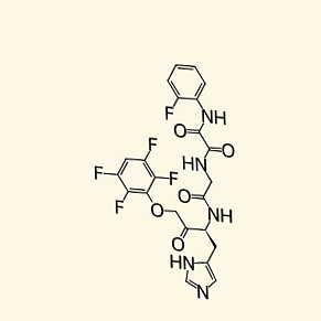 O=C(CNC(=O)C(=O)Nc1ccccc1F)N[C@@H](Cc1cnc[nH]1)C(=O)COc1c(F)c(F)cc(F)c1F